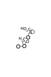 Cc1cc(CN2CCCC[C@H]2C(=O)O)ccc1OC1CCc2c(-c3ccccc3)cccc21